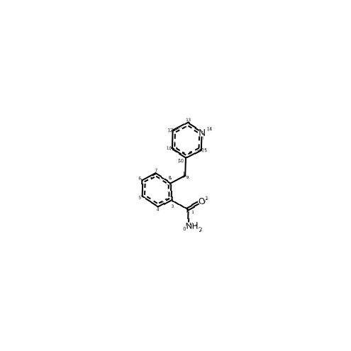 NC(=O)c1ccccc1Cc1cccnc1